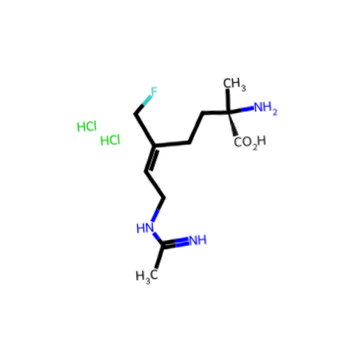 CC(=N)NC/C=C(/CF)CC[C@](C)(N)C(=O)O.Cl.Cl